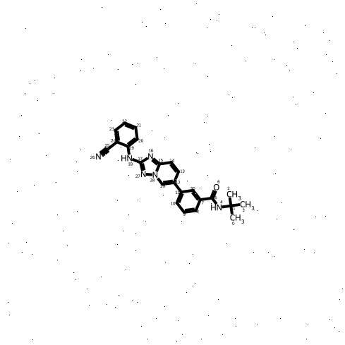 CC(C)(C)NC(=O)c1cccc(-c2ccc3nc(Nc4ccccc4C#N)nn3c2)c1